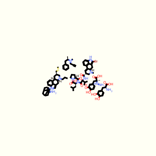 C#CCN(C)[C@H](C)Cc1ccccc1.CC(C)C[C@H]1C(=O)N2CCC[C@H]2[C@]2(O)O[C@](NC(=O)[C@@H]3C=C4c5cccc6[nH]c(Br)c(c56)C[C@H]4N(C)C3)(C(C)C)C(=O)N12.CCCN1C[C@H](CSC)C[C@@H]2c3cccc4[nH]cc(c34)C[C@H]21.C[C@@](Cc1ccc(O)c(O)c1)(NN)C(=O)O.NC12CC3CC(CC(C3)C1)C2.N[C@@H](Cc1ccc(O)c(O)c1)C(=O)O